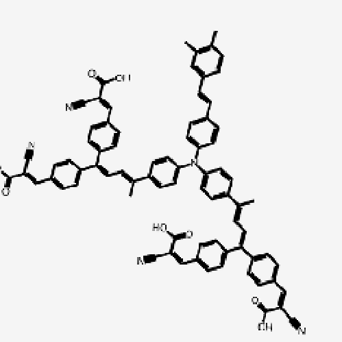 C/C(=C\C=C(c1ccc(/C=C(/C#N)C(=O)O)cc1)c1ccc(/C=C(/C#N)C(=O)O)cc1)c1ccc(N(c2ccc(/C=C/c3ccc(C)c(C)c3)cc2)c2ccc(/C(C)=C/C=C(c3ccc(/C=C(\C#N)C(=O)O)cc3)c3ccc(/C=C(\C#N)C(=O)O)cc3)cc2)cc1